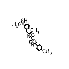 Cc1ccc(-c2noc(-c3nc(Cc4cccc(N(C)C)c4)c(C)o3)n2)cc1